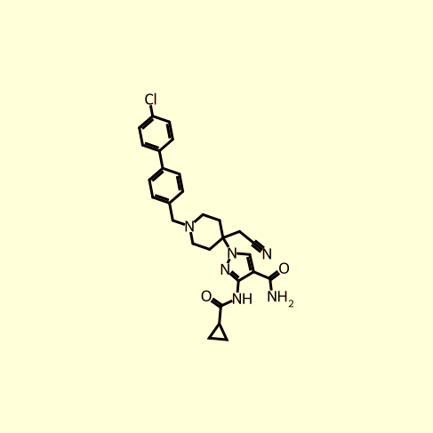 N#CCC1(n2cc(C(N)=O)c(NC(=O)C3CC3)n2)CCN(Cc2ccc(-c3ccc(Cl)cc3)cc2)CC1